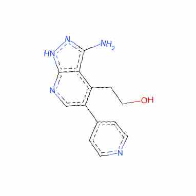 Nc1n[nH]c2ncc(-c3ccncc3)c(CCO)c12